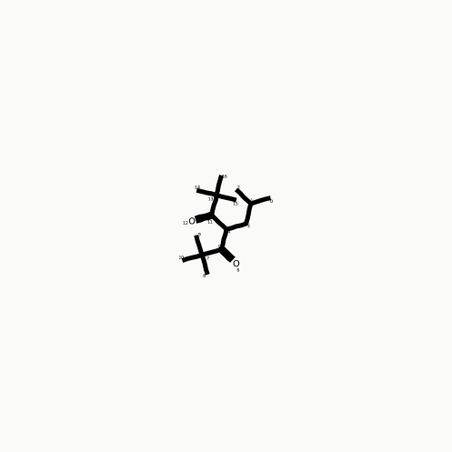 CC(C)CC(C(=O)C(C)(C)C)C(=O)C(C)(C)C